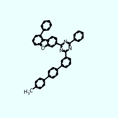 Cc1ccc(-c2ccc(-c3cccc(-c4nc(-c5ccccc5)nc(-c5ccc6c(c5)oc5cccc(-c7ccccc7)c56)n4)c3)cc2)cc1